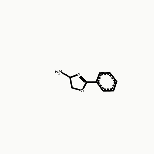 NC1COC(c2ccccc2)=N1